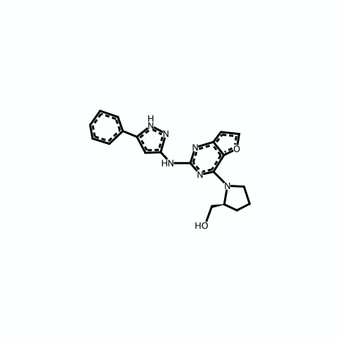 OC[C@@H]1CCCN1c1nc(Nc2cc(-c3ccccc3)[nH]n2)nc2ccoc12